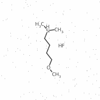 COCCCC[SiH](C)C.F